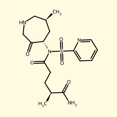 C[C@@H]1CNCC(=O)[C@@H](N(C(=O)[CH]C[C@H](C)C(N)=O)S(=O)(=O)c2ccccn2)C1